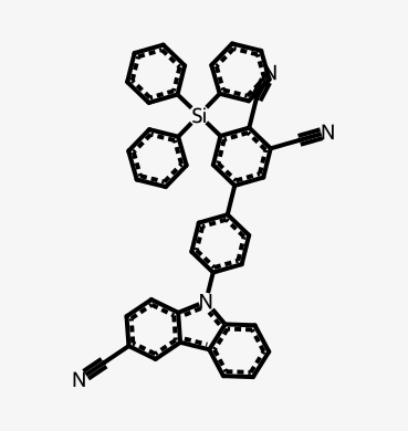 N#Cc1ccc2c(c1)c1ccccc1n2-c1ccc(-c2cc(C#N)c(C#N)c([Si](c3ccccc3)(c3ccccc3)c3ccccc3)c2)cc1